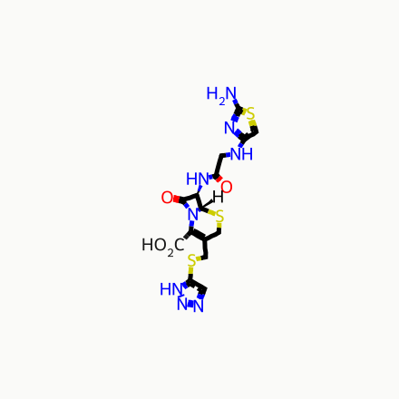 Nc1nc(NCC(=O)N[C@@H]2C(=O)N3C(C(=O)O)=C(CSc4cnn[nH]4)CS[C@@H]23)cs1